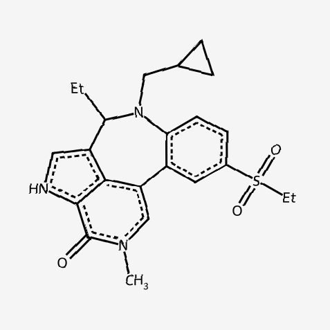 CCC1c2c[nH]c3c(=O)n(C)cc(c23)-c2cc(S(=O)(=O)CC)ccc2N1CC1CC1